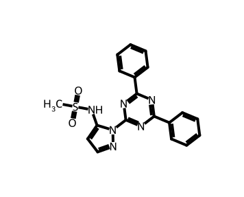 CS(=O)(=O)Nc1ccnn1-c1nc(-c2ccccc2)nc(-c2ccccc2)n1